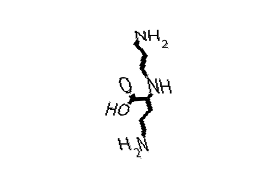 NCCCNC(CCCN)C(=O)O